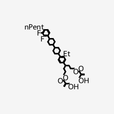 C=C(CO)C(=O)OCCCC(CCCOC(=O)C(=C)CO)c1ccc(C2CCC(C3CCC(c4ccc(CCCCC)c(F)c4F)CC3)CC2)c(CC)c1